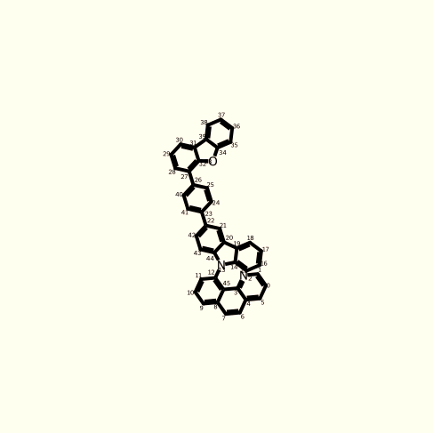 c1cnc2c(c1)ccc1cccc(-n3c4ccccc4c4cc(-c5ccc(-c6cccc7c6oc6ccccc67)cc5)ccc43)c12